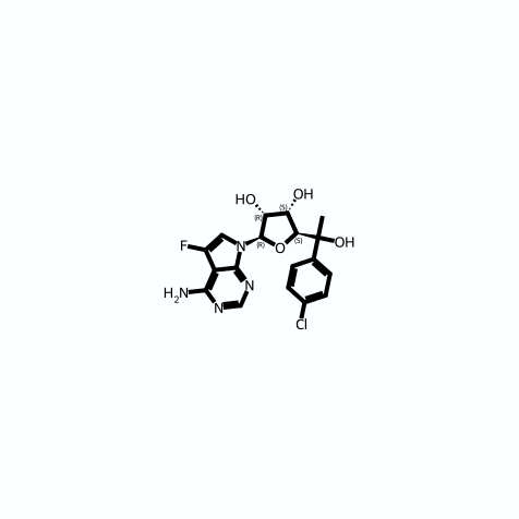 CC(O)(c1ccc(Cl)cc1)[C@H]1O[C@@H](n2cc(F)c3c(N)ncnc32)[C@H](O)[C@@H]1O